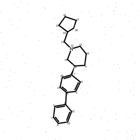 c1ccc(-c2ccc([C@@H]3CCCN(CC4CCCC4)C3)cc2)cc1